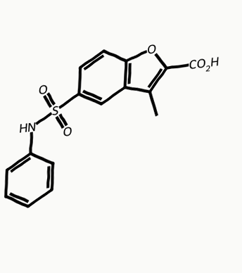 Cc1c(C(=O)O)oc2ccc(S(=O)(=O)Nc3ccccc3)cc12